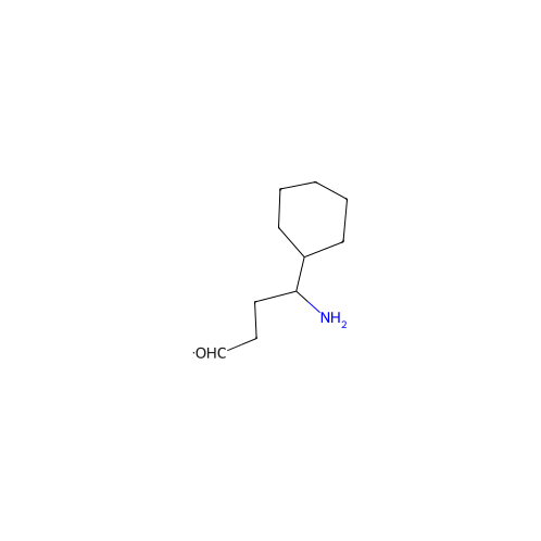 NC(CC[C]=O)C1CCCCC1